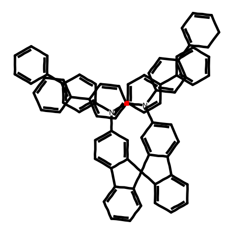 C1=CCCC(c2ccc(N(c3ccc(-c4ccccc4)cc3)c3ccc4c(c3)C3(c5ccccc5-4)c4ccccc4-c4ccc(N(c5ccc(-c6ccccc6)cc5)c5ccc(-c6ccccc6)cc5)cc43)cc2)=C1